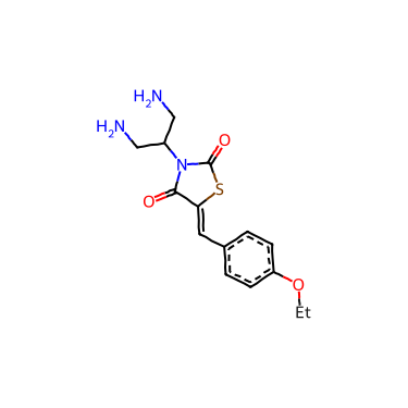 CCOc1ccc(/C=C2\SC(=O)N(C(CN)CN)C2=O)cc1